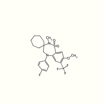 COc1cc2c(cc1C(F)(F)F)N(c1ccc(F)cc1)CC1(CCCCCC1)N(C)S2(=O)=O